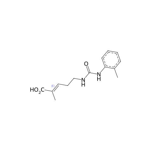 C/C(=C\CCNC(=O)Nc1ccccc1C)C(=O)O